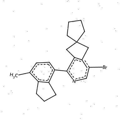 Cc1ccc(-c2ncc(Br)c3c2CC2(CCCC2)C3)c2c1CCC2